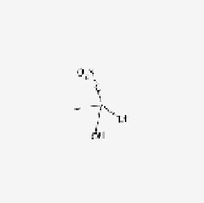 CCC(C)(O)C[N+](=O)[O-]